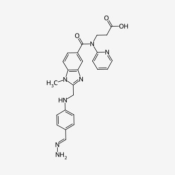 Cn1c(CNc2ccc(C=NN)cc2)nc2cc(C(=O)N(CCC(=O)O)c3ccccn3)ccc21